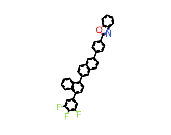 Fc1cc(-c2ccc(-c3ccc4cc(-c5ccc(-c6nc7ccccc7o6)cc5)ccc4c3)c3ccccc23)cc(F)c1F